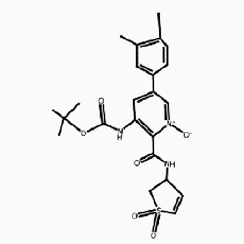 Cc1ccc(-c2cc(NC(=O)OC(C)(C)C)c(C(=O)NC3C=CS(=O)(=O)C3)[n+]([O-])c2)cc1C